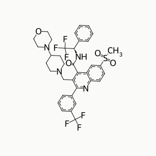 CS(=O)(=O)c1ccc2nc(-c3cccc(C(F)(F)F)c3)c(CN3CCC(N4CCOCC4)CC3)c(C(=O)N[C@H](c3ccccc3)C(F)(F)F)c2c1